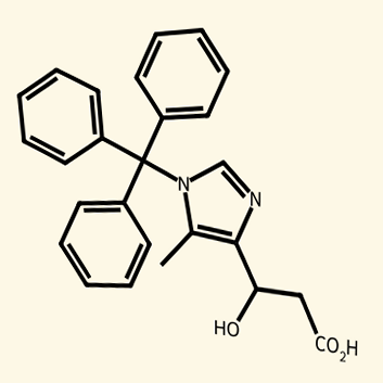 Cc1c(C(O)CC(=O)O)ncn1C(c1ccccc1)(c1ccccc1)c1ccccc1